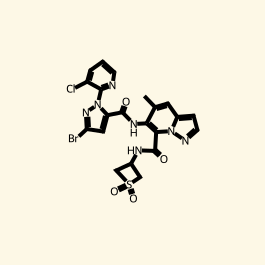 Cc1cc2ccnn2c(C(=O)NC2CS(=O)(=O)C2)c1NC(=O)c1cc(Br)nn1-c1ncccc1Cl